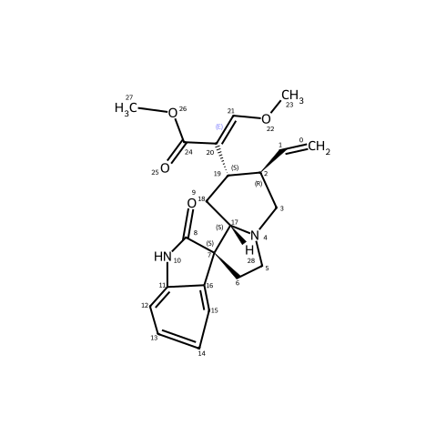 C=C[C@H]1CN2CC[C@@]3(C(=O)Nc4ccccc43)[C@@H]2C[C@@H]1/C(=C\OC)C(=O)OC